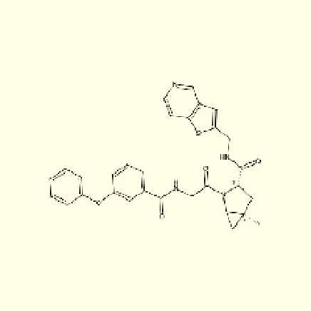 C[C@]12CC1N(C(=O)CNC(=O)c1cccc(Oc3ccccc3)c1)[C@H](C(=O)NCc1cc3cnccc3s1)C2